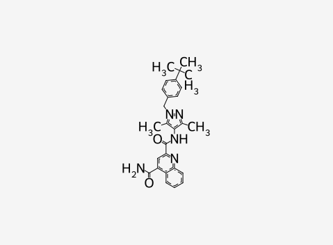 Cc1nn(Cc2ccc(C(C)(C)C)cc2)c(C)c1NC(=O)c1cc(C(N)=O)c2ccccc2n1